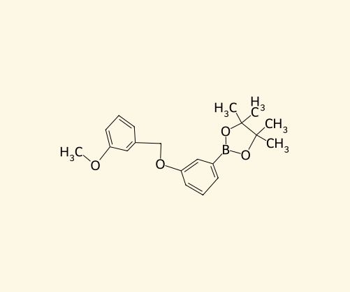 COc1cccc(COc2cccc(B3OC(C)(C)C(C)(C)O3)c2)c1